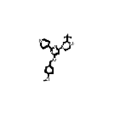 COc1ccc(COc2cc(N3CCNC(C(C)(C)C)C3)nc(-c3ccncc3)n2)cc1